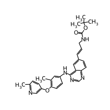 Cc1ccc(Oc2ccc(Nc3ncnc4ccc(/C=C/CNC(=O)OC(C)(C)C)cc34)cc2C)cn1